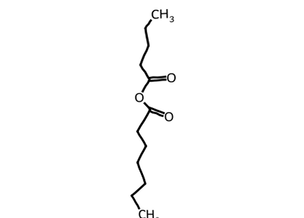 CCCCCCC(=O)OC(=O)CCCC